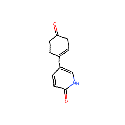 O=C1CC=C(c2ccc(=O)[nH]c2)CC1